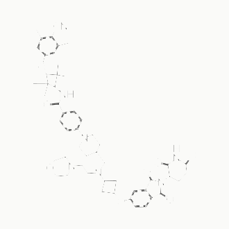 Cc1cc(OC2C(C)(C)C(NC(=O)c3ccc(N4CCC(CN(CCN5CCOCC5)C5CC(Oc6ccc7c(c6)C(=O)N([C@@H]6CCC(=O)NC6=O)C7=O)C5)CC4)cc3)C2(C)C)cc(C)c1C#N